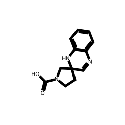 O=C(O)N1CCC2(C=Nc3ccccc3N2)C1